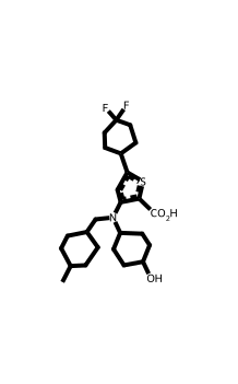 CC1CCC(CN(c2cc(C3CCC(F)(F)CC3)sc2C(=O)O)C2CCC(O)CC2)CC1